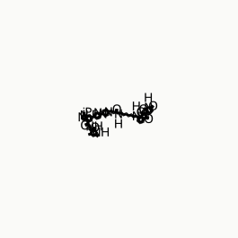 Cc1cc(C)c(CNC(=O)c2cc(-c3ccc(N4CCN(CCC(=O)NCCCCCCNc5cccc6c5C(=O)N(C5CCC(=O)NC5=O)C6=O)CC4)nc3)cc3c2cnn3C(C)C)c(=O)[nH]1